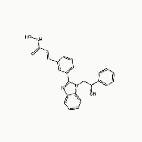 O=C(/C=C/c1cccc(-c2nc3ccccc3n2C[C@H](O)c2ccccc2)c1)NO